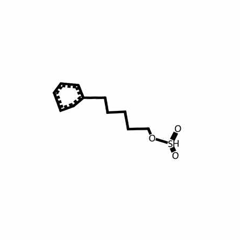 O=[SH](=O)OCCCCCc1ccccc1